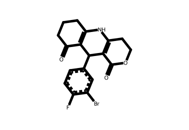 O=C1CCCC2=C1C(c1ccc(F)c(Br)c1)C1=C(CCOC1=O)N2